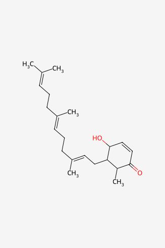 CC(C)=CCC/C(C)=C/CC/C(C)=C/CC1C(O)C=CC(=O)C1C